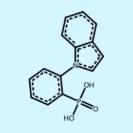 O=P(O)(O)c1ccccc1-n1ccc2ccccc21